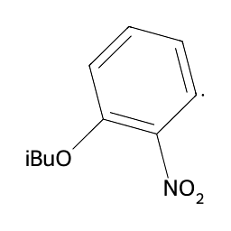 CC(C)COc1ccc[c]c1[N+](=O)[O-]